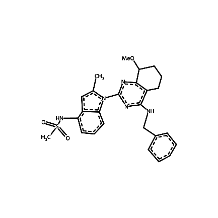 COC1CCCc2c(NCc3ccccc3)nc(-n3c(C)cc4c(NS(C)(=O)=O)cccc43)nc21